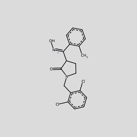 Cc1ccccc1/C(=N\O)C1CCN(Cc2c(Cl)cccc2Cl)C1=O